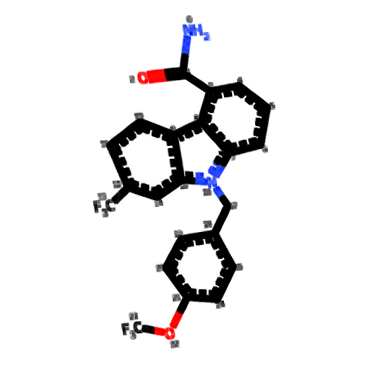 NC(=O)c1cccc2c1c1[c]cc(C(F)(F)F)cc1n2Cc1ccc(OC(F)(F)F)cc1